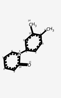 Cc1ccc(-n2ccccc2=O)cc1C